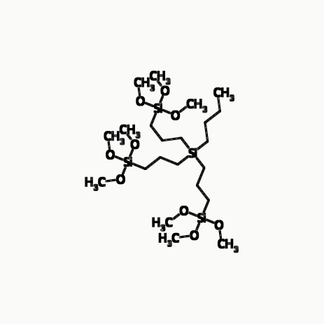 CCCC[Si](CCC[Si](OC)(OC)OC)(CCC[Si](OC)(OC)OC)CCC[Si](OC)(OC)OC